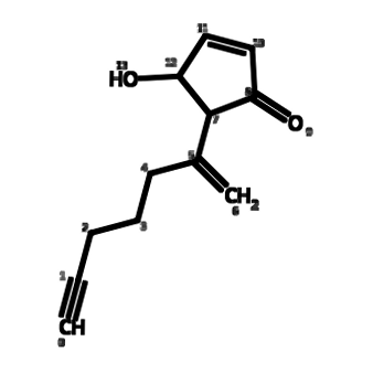 C#CCCCC(=C)C1C(=O)C=CC1O